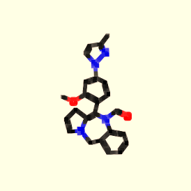 COc1cc(-n2ccc(C)n2)ccc1C1=C2CC=CN2Cc2ccccc2N1C=O